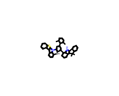 Cc1cccc(C)c1-c1cc(-c2cccc3c4c([nH]c23)-c2ccccc2C4(C)C)c2c(c1)-n1c3sc4ccccc4c3c3cccc(c31)B2